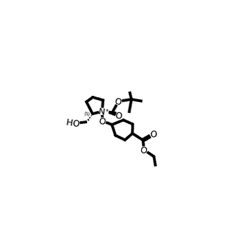 CCOC(=O)C1CCC(O[N+]2(C(=O)OC(C)(C)C)CCC[C@H]2CO)CC1